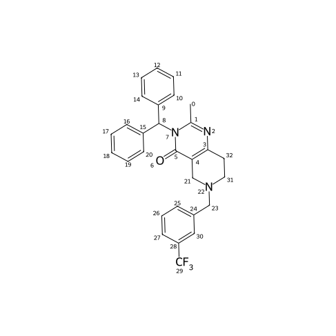 Cc1nc2c(c(=O)n1C(c1ccccc1)c1ccccc1)CN(Cc1cccc(C(F)(F)F)c1)CC2